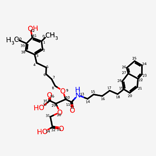 Cc1cc(CCCCCOC(C(=O)NCCCCCc2ccc3ccccc3c2)C(OCC(=O)O)C(=O)O)cc(C)c1O